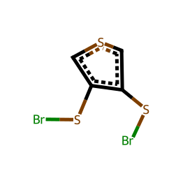 BrSc1cscc1SBr